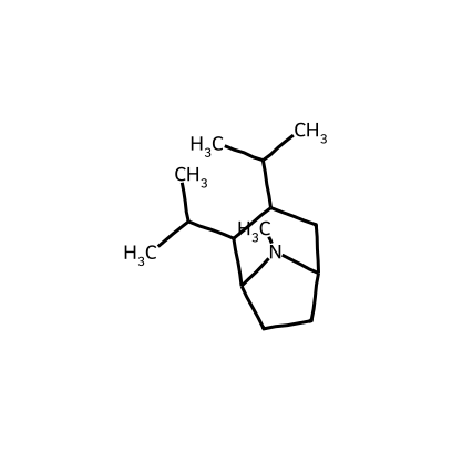 CC(C)C1CC2CCC(C1C(C)C)N2C